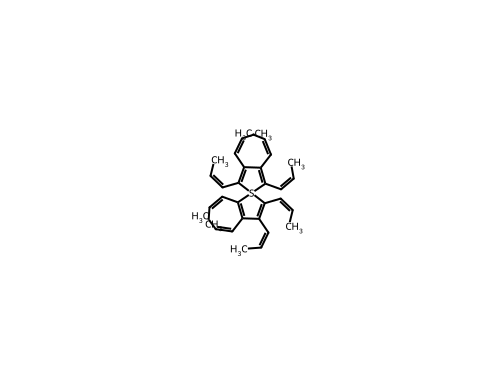 C/C=C\C1=C(/C=C\C)S2(C(/C=C\C)=C1/C=C\C)C(/C=C\C)=C(/C=C\C)C(/C=C\C)=C2/C=C\C